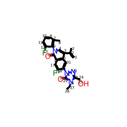 C=C(C)c1cn(-c2c(C)cccc2F)c(=O)c2cc(F)c(-n3nc(CO)n(CC)c3=O)cc12